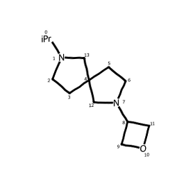 CC(C)N1CCC2(CCN(C3COC3)C2)C1